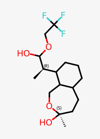 C[C@@H](C(O)OCC(F)(F)F)C1CCCC2CC[C@@](C)(O)OCC21